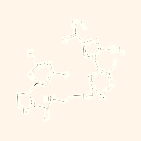 Cc1cc(C(N)=O)cn1-c1nc(NCCNC(=O)N2N=CC[C@H]2c2cc(F)cc(F)c2)ncc1F